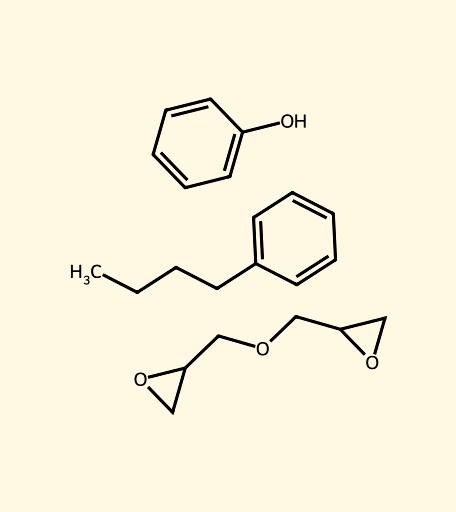 C(OCC1CO1)C1CO1.CCCCc1ccccc1.Oc1ccccc1